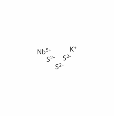 [K+].[Nb+5].[S-2].[S-2].[S-2]